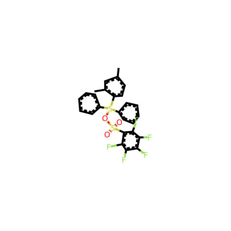 Cc1ccc(S(OS(=O)(=O)c2c(F)c(F)c(F)c(F)c2F)(c2ccccc2)c2ccccc2)c(C)c1